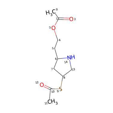 CC(=O)OCCC1CC(SC(C)=O)CN1